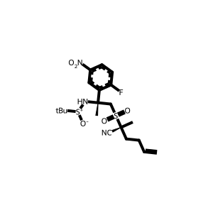 C=CCC[C@](C)(C#N)S(=O)(=O)C[C@](C)(N[S+]([O-])C(C)(C)C)c1cc([N+](=O)[O-])ccc1F